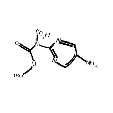 CC(C)(C)OC(=O)N(C(=O)O)c1ncc(N)cn1